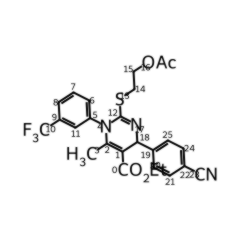 CCOC(=O)C1=C(C)N(c2cccc(C(F)(F)F)c2)C(SCCOC(C)=O)=NC1c1ccc(C#N)cc1